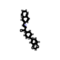 O=C(/C=C/c1ccc2nccnc2c1)c1ccc(-c2ccc3c(c2)OCO3)cc1